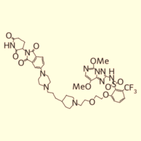 COc1cnc(OC)n2nc(NS(=O)(=O)c3c(OCCOCCN4CCC(CCCN5CCN(c6ccc7c(c6)C(=O)N(C6CCC(=O)NC6=O)C7=O)CC5)CC4)cccc3C(F)(F)F)nc12